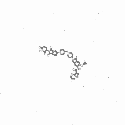 O=C1CCC(N2C(=O)c3ccc(N4CCC(CN5CCC(N6Cc7cc(NC(=O)c8cnn9cccnc89)c(OC8CC8)cc7C6=O)CC5)CC4)cc3C2=O)C(=O)N1